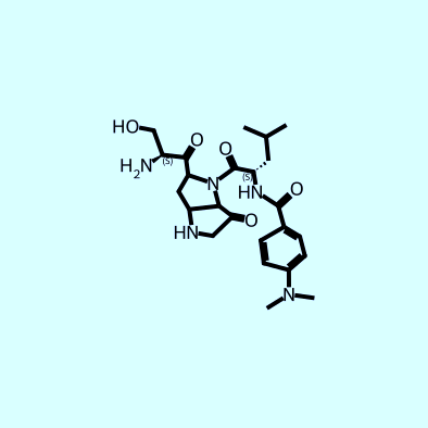 CC(C)C[C@H](NC(=O)c1ccc(N(C)C)cc1)C(=O)N1C(C(=O)[C@@H](N)CO)CC2NCC(=O)C21